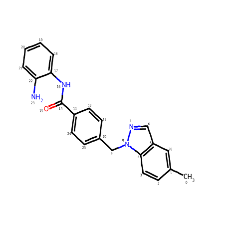 Cc1ccc2c(cnn2Cc2ccc(C(=O)Nc3ccccc3N)cc2)c1